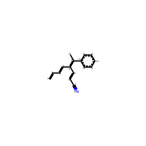 C=CC=CC(C=CC#N)=C(C)c1ccccc1